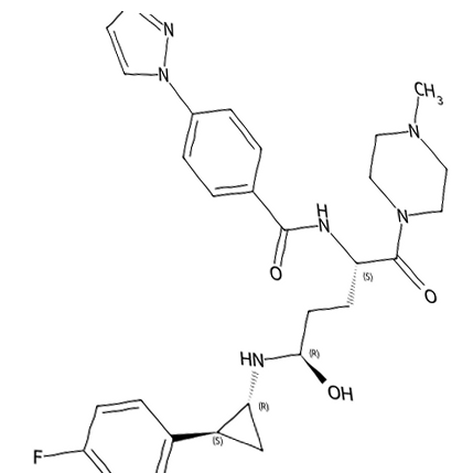 CN1CCN(C(=O)[C@H](CC[C@@H](O)N[C@@H]2C[C@H]2c2ccc(F)cc2)NC(=O)c2ccc(-n3ccnn3)cc2)CC1